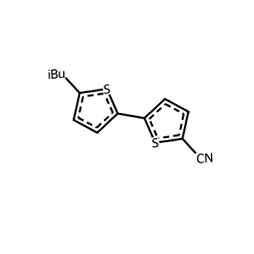 CCC(C)c1ccc(-c2ccc(C#N)s2)s1